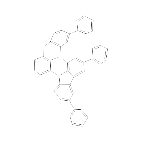 c1ccc(-c2ccc3c(c2)B2c4c(cccc4-n4c5ccc(-c6ccccc6)cc5c5cc(-c6ccccc6)cc2c54)O3)cc1